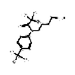 CC(C)(O)C(=O)N(CCCCC(=O)O)c1ccc(C(O)(C(F)(F)F)C(F)(F)F)cc1